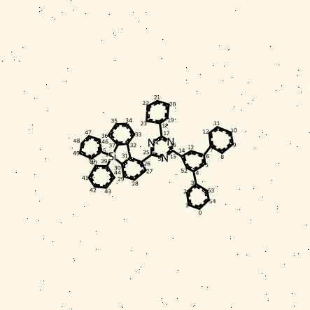 c1ccc(-c2cc(-c3ccccc3)cc(-c3nc(-c4ccccc4)nc(-c4cccc5c4-c4ccccc4[Si]5(c4ccccc4)c4ccccc4)n3)c2)cc1